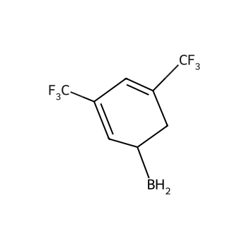 BC1C=C(C(F)(F)F)C=C(C(F)(F)F)C1